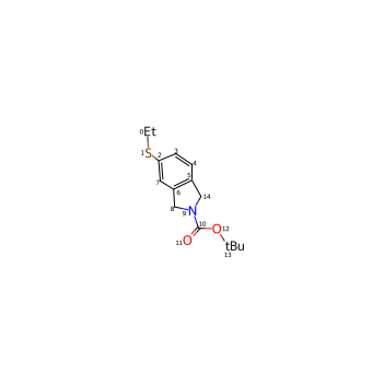 CCSc1ccc2c(c1)CN(C(=O)OC(C)(C)C)C2